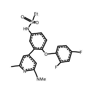 CCS(=O)(=O)Nc1ccc(Oc2ccc(F)cc2F)c(-c2cc(C)nc(NC)c2)c1